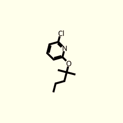 CCCC(C)(C)Oc1cccc(Cl)n1